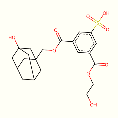 O=C(OCCO)c1cc(C(=O)OCC23CC4CC(CC(O)(C4)C2)C3)cc(S(=O)(=O)O)c1